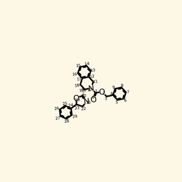 O=C(OCc1ccccc1)N1Cc2ccccc2C[C@H]1C1=NCC(c2ccccc2)O1